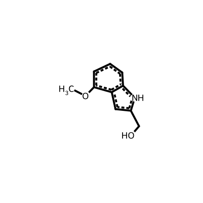 COc1cccc2[nH]c(CO)cc12